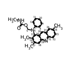 CNC(=O)OCN(c1ccccc1)c1c(C)c(C)cc2nc3ccc(C)cc3cc12